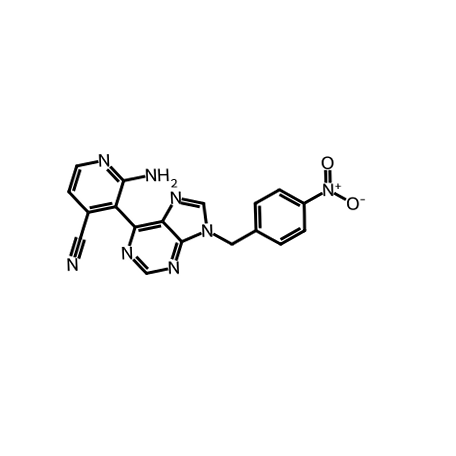 N#Cc1ccnc(N)c1-c1ncnc2c1ncn2Cc1ccc([N+](=O)[O-])cc1